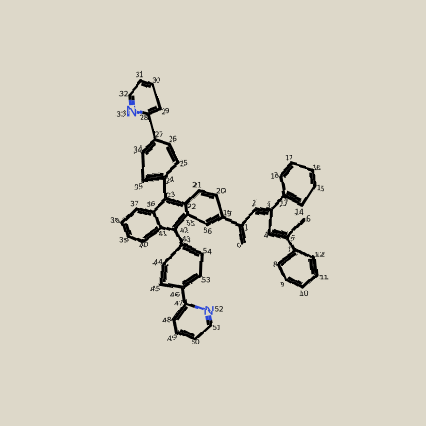 C=C(/C=C(\C=C(/C)c1ccccc1)c1ccccc1)c1ccc2c(-c3ccc(-c4ccccn4)cc3)c3ccccc3c(-c3ccc(-c4ccccn4)cc3)c2c1